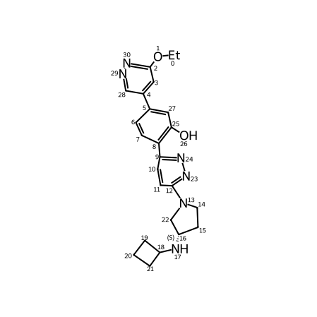 CCOc1cc(-c2ccc(-c3ccc(N4CC[C@H](NC5CCC5)C4)nn3)c(O)c2)cnn1